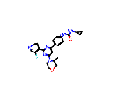 CC1COCCN1c1cc(-c2ccc(NC(=O)NC3CC3)cc2)nc(-c2ccncc2F)n1